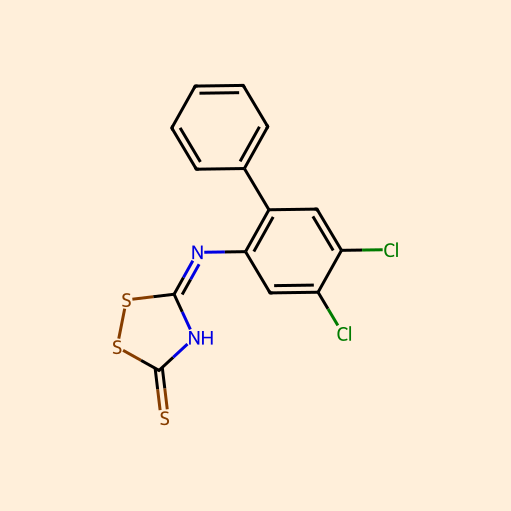 S=c1[nH]c(=Nc2cc(Cl)c(Cl)cc2-c2ccccc2)ss1